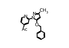 CC(=O)c1ccnc(-n2nc(C)cc2OCc2ccccc2)c1